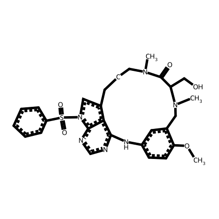 COc1ccc2cc1CN(C)C(CO)C(=O)N(C)CCCc1cn(S(=O)(=O)c3ccccc3)c3ncnc(c13)N2